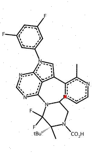 Cc1nccnc1-c1cn(-c2cc(F)cc(F)c2)c2ncnc(N3C(F)CN(C(=O)O)[C@](C)(C(C)(C)C)C3(F)F)c12